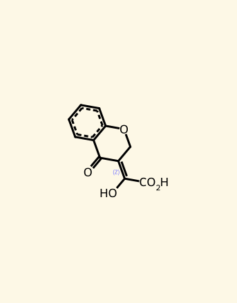 O=C(O)/C(O)=C1\COc2ccccc2C1=O